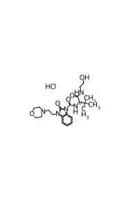 CC(C)(C)[C@H](NC(=O)n1c(=O)n(CCN2CCOCC2)c2ccccc21)C(=O)NCCO.Cl